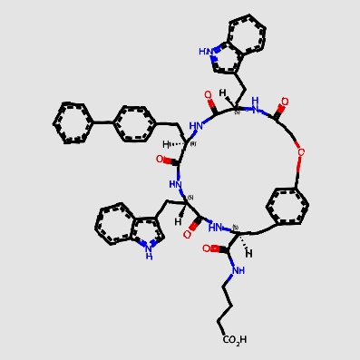 O=C(O)CCCNC(=O)[C@@H]1Cc2ccc(cc2)OCC(=O)N[C@@H](Cc2c[nH]c3ccccc23)C(=O)N[C@H](Cc2ccc(-c3ccccc3)cc2)C(=O)N[C@@H](Cc2c[nH]c3ccccc23)C(=O)N1